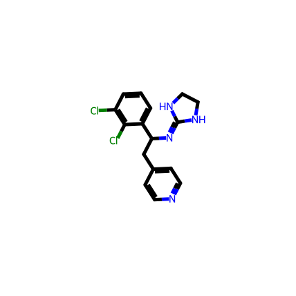 Clc1cccc(C(Cc2ccncc2)N=C2NCCN2)c1Cl